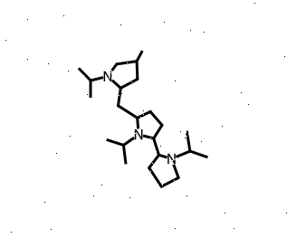 CC1CC(CC2CCC(C3CCCN3C(C)C)N2C(C)C)N(C(C)C)C1